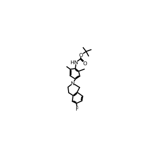 Cc1cc(N2CCc3cc(F)ccc3C2)cc(C)c1NC(=O)OC(C)(C)C